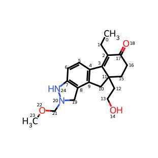 CCC1=C2c3ccc4c(c3CC2(CCO)CCC1=O)CN(COC)N4